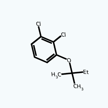 CCC(C)(C)Oc1cccc(Cl)c1Cl